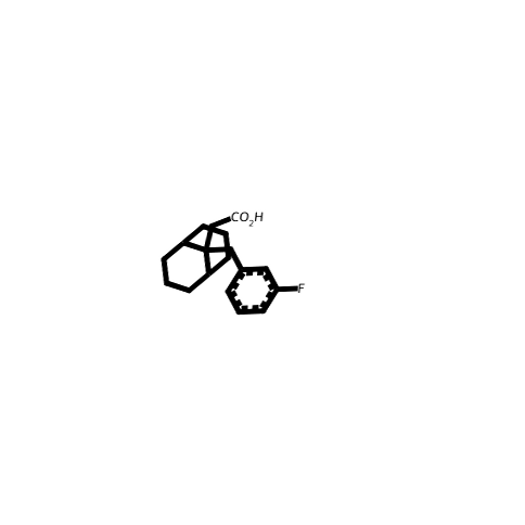 O=C(O)CC1(Cc2cccc(F)c2)C2CCCC1CCC2